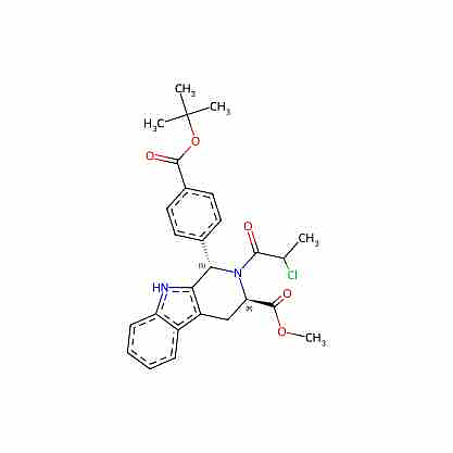 COC(=O)[C@H]1Cc2c([nH]c3ccccc23)[C@H](c2ccc(C(=O)OC(C)(C)C)cc2)N1C(=O)C(C)Cl